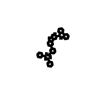 c1ccc(-c2nc(-c3ccccc3)nc(-c3cccc(-c4ccc5sc6cnc(-c7nc8ccccc8c8ccccc78)cc6c5c4)c3)n2)cc1